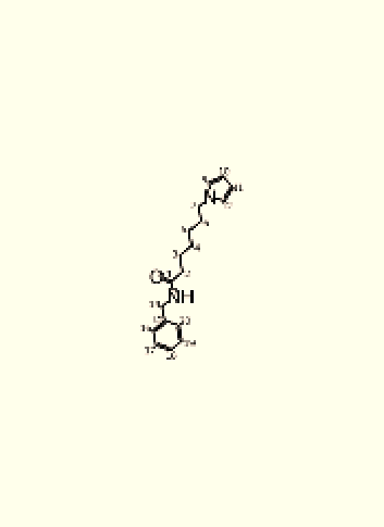 O=C(CCCCCCn1cccc1)NCc1ccccc1